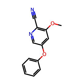 COc1cc(Oc2ccccc2)cnc1C#N